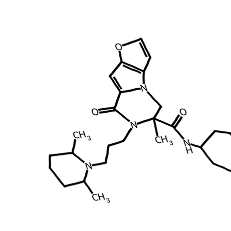 CC1CCCC(C)N1CCCN1C(=O)c2cc3occc3n2CC1(C)C(=O)NC1CCCCC1